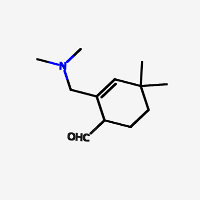 CN(C)CC1=CC(C)(C)CCC1C=O